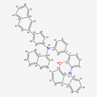 c1cc(-c2cccc3c2Oc2cccc4c5ccccc5n-3c24)cc(N(c2ccc(-c3ccc4ccccc4c3)cc2)c2cccc3ccccc23)c1